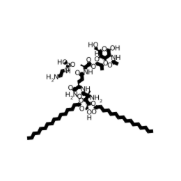 CCCCCCCCCCCCCCCC(=O)OC([C@H](CO)OC(=O)CCCCCCCCCCCCCCC)[C@@](C)(N)C(=O)N[C@H](CCC(=O)N[C@@H](C)C(=O)OCC(C)O[C@H]1[C@H](O)[C@@H](CO)O[C@H](O)[C@@H]1NC(C)=O)C(N)=O.NCCO[PH](=O)O